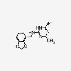 CC1N=C(NCc2cccc3c2OCO3)NC(C(C)C)=N1